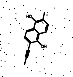 CC#Cc1ccc2c(O)c(C)ccc2c1O